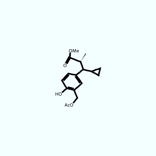 COC(=O)[C@H](C)C(c1ccc(O)c(COC(C)=O)c1)C1CC1